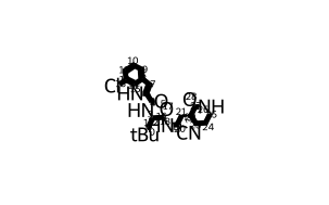 CC(C)(C)CC(NC(=O)c1cc2cccc(Cl)c2[nH]1)C(=O)N[C@H](C#N)C[C@@H]1CCCNC1=O